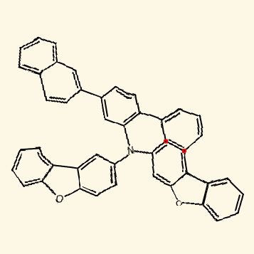 c1ccc(-c2ccc(-c3ccc4ccccc4c3)cc2N(c2ccc3c(c2)oc2ccccc23)c2ccc3oc4ccccc4c3c2)cc1